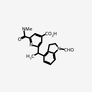 CNC(=O)c1cc(C(=O)O)cc(C(C)c2cccc3c2CCN3C=O)n1